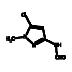 Cn1nc(NC=O)cc1Cl